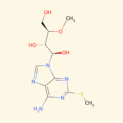 CO[C@H](CO)[C@@H](O)[C@@H](O)n1cnc2c(N)nc(SC)nc21